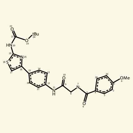 COc1ccc(C(=O)[N]CC(=O)Nc2ccc(-c3csc(NC(=O)OC(C)(C)C)n3)cc2)cc1